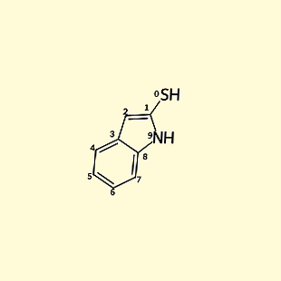 Sc1cc2ccccc2[nH]1